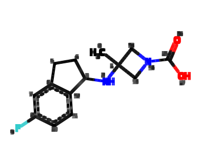 CC1(NC2CCc3cc(F)ccc32)CN(C(=O)O)C1